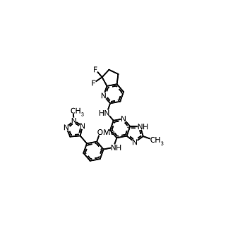 COc1c(Nc2cc(Nc3ccc4c(n3)C(F)(F)CC4)nc3[nH]c(C)nc23)cccc1-c1cnn(C)n1